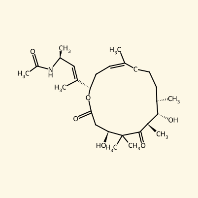 CC(=O)N[C@@H](C)/C=C(\C)[C@@H]1C/C=C(/C)CCC[C@H](C)[C@H](O)[C@@H](C)C(=O)C(C)(C)[C@@H](O)CC(=O)O1